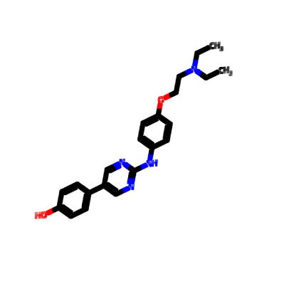 CCN(CC)CCOc1ccc(Nc2ncc(-c3ccc(O)cc3)cn2)cc1